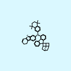 CC1(C)CCC(C)(C)c2cc(N(c3ccc4c5c(sc4c3)C=CCC5)c3cccc4c3-c3ccccc3C43C4CC5CC6CC3C64C5)ccc21